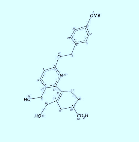 COc1ccc(COc2ccc(CO)c(C3=C(CO)CN(C(=O)O)CC3)n2)cc1